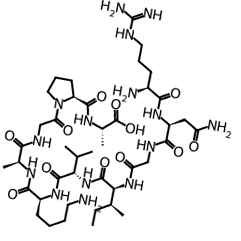 CC[C@H](C)[C@H](NC(=O)CNC(=O)[C@H](CC(N)=O)NC(=O)[C@@H](N)CCCNC(=N)N)C(=O)N[C@H](C(=O)N[C@@H](CCCCN)C(=O)N[C@@H](C)C(=O)NCC(=O)N1CCC[C@H]1C(=O)N[C@@H](C)C(=O)O)C(C)C